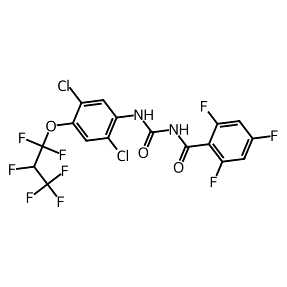 O=C(NC(=O)c1c(F)cc(F)cc1F)Nc1cc(Cl)c(OC(F)(F)C(F)C(F)(F)F)cc1Cl